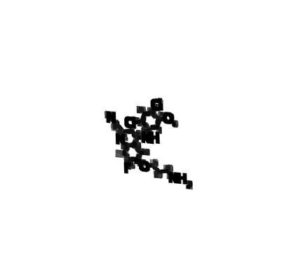 COc1cc(Nc2cc(C#N)nc3cc(F)c(OCCCN)cc23)c(Cl)cc1Cl